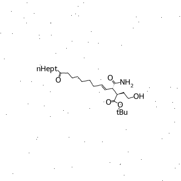 CCCCCCCC(=O)CCCCCC/C=C/[C@H](C(N)=O)[C@@H](CCO)C(=O)OC(C)(C)C